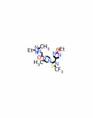 CCOc1ncc(-c2nc(C(F)(F)F)sc2N2CCN(C(=O)Cn3nc(CC)nc3C)[C@H](C)C2)cn1